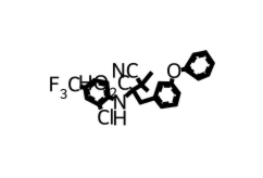 CC(C)(C#N)[C@@](Cc1cccc(Oc2ccccc2)c1)(Nc1ccc(C(F)(F)F)cc1Cl)C(=O)O